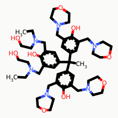 CCN(CCO)Cc1cc(C(C)(c2cc(CN3CCOCC3)c(O)c(CN3CCOCC3)c2)c2cc(CN3CCOCC3)c(O)c(CN3CCOCC3)c2)cc(CN(CC)CCO)c1O